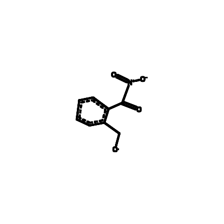 [O]Cc1ccccc1C(=O)[N+](=O)[O-]